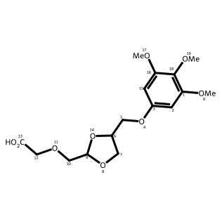 COc1cc(OCC2COC(COCC(=O)O)O2)cc(OC)c1OC